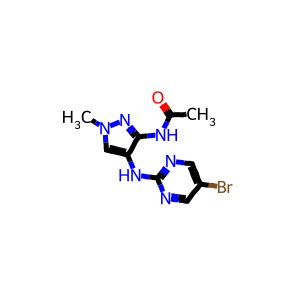 CC(=O)Nc1nn(C)cc1Nc1ncc(Br)cn1